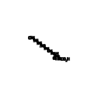 O=C(O)NCC(=O)NCCOCCOCCCCCCCl